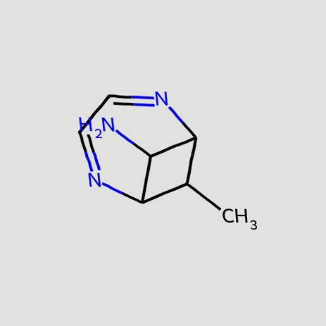 CC1C2N=CC=NC1C2N